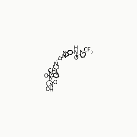 Cn1c(=O)n(C2CCC(=O)NC2=O)c2cccc(C3CCN(C[C@H]4C[C@H](n5cc6cc(NC(=O)c7cccc(C(F)(F)F)n7)ccc6n5)C4)CC3)c21